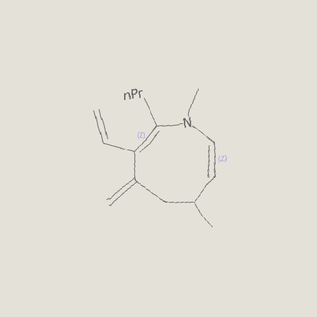 C=C/C1=C(\CCC)N(C)/C=C\C(C)CC1=C